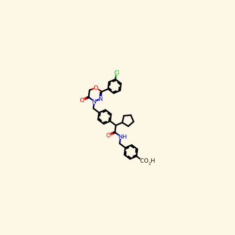 O=C(O)c1ccc(CNC(=O)C(c2ccc(CN3N=C(c4cccc(Cl)c4)OCC3=O)cc2)C2CCCC2)cc1